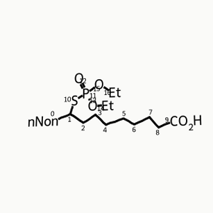 CCCCCCCCCC(CCCCCCCC(=O)O)SP(=O)(OCC)OCC